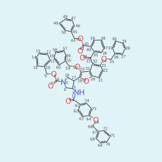 O=C(NC1CN(C(=O)OCc2ccccc2)CC1c1oc2ccc(OCc3ccccc3)c(C(=O)c3ccccc3C(=O)OCc3ccccc3)c2c1OCc1ccccc1)c1ccc(OCc2ccccc2)cc1